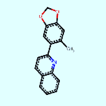 Cc1cc2c(cc1-c1ccc3ccccc3n1)OCO2